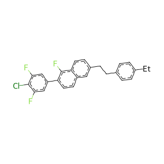 CCc1ccc(CCc2ccc3c(F)c(-c4cc(F)c(Cl)c(F)c4)ccc3c2)cc1